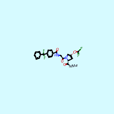 CNC(=O)[C@@H]1C[C@@H](OC(F)F)CN1C(=O)CNC(=O)c1ccc(C(F)(F)c2ccccc2)cc1